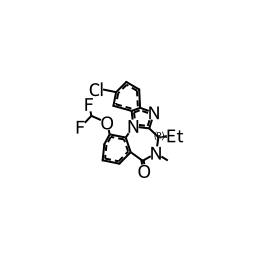 CC[C@@H]1c2nc3ccc(Cl)cc3n2-c2c(OC(F)F)cccc2C(=O)N1C